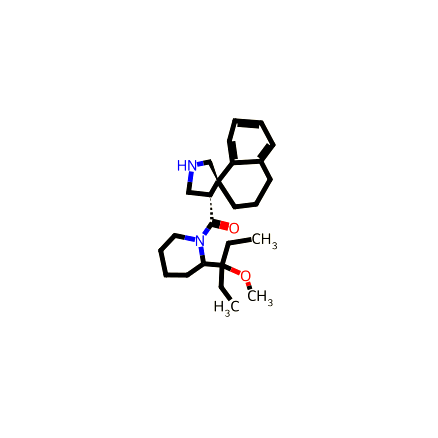 CCC(CC)(OC)C1CCCCN1C(=O)[C@@H]1CNC[C@@]12CCCc1ccccc12